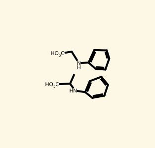 CC(Nc1ccccc1)C(=O)O.O=C(O)CNc1ccccc1